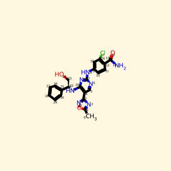 Cc1nc(-c2cnc(Nc3ccc(C(N)=O)c(Cl)c3)nc2N[C@H](CO)c2ccccc2)no1